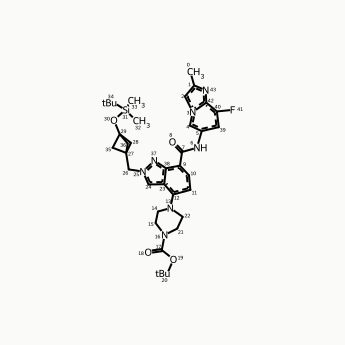 Cc1cn2cc(NC(=O)c3ccc(N4CCN(C(=O)OC(C)(C)C)CC4)c4cn(CC56CC(O[Si](C)(C)C(C)(C)C)(C5)C6)nc34)cc(F)c2n1